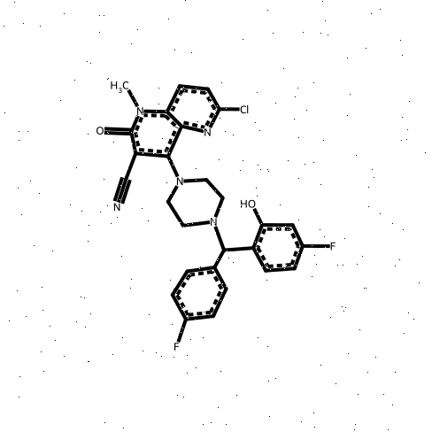 Cn1c(=O)c(C#N)c(N2CCN(C(c3ccc(F)cc3)c3ccc(F)cc3O)CC2)c2nc(Cl)ccc21